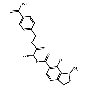 COC(=O)c1ccc(COC(=O)[C@@H](NC(=O)c2ccc3c(c2C)B(C)OC3)C(C)C)cc1